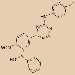 CNC1C=CC(c2ccnc(Nc3ccc(F)cc3)n2)=C/C1=C(/O)c1ccccc1